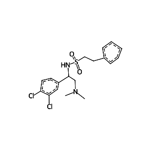 CN(C)CC(NS(=O)(=O)CCc1ccccc1)c1ccc(Cl)c(Cl)c1